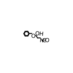 O=C=NCCC(O)OCc1ccccc1